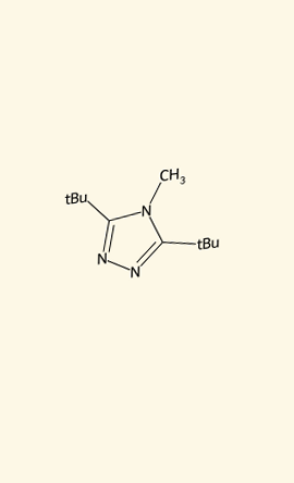 Cn1c(C(C)(C)C)nnc1C(C)(C)C